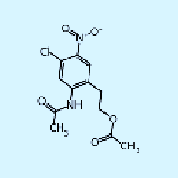 CC(=O)Nc1cc(Cl)c([N+](=O)[O-])cc1CCOC(C)=O